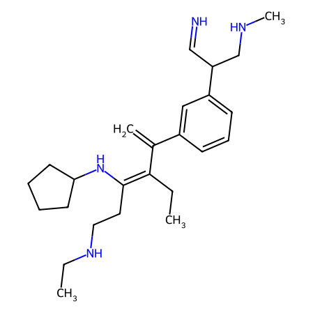 C=C(/C(CC)=C(/CCNCC)NC1CCCC1)c1cccc(C(C=N)CNC)c1